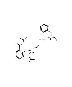 CCOP(=S)(CC)Sc1ccccc1.CCOP(=S)(NC(C)C)Oc1ccccc1C(=O)OC(C)C